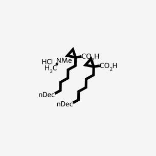 CCCCCCCCCCCCCCCC1(C(=O)O)CC1.CCCCCCCCCCCCCCCC1(C(=O)O)CC1.CNC.Cl